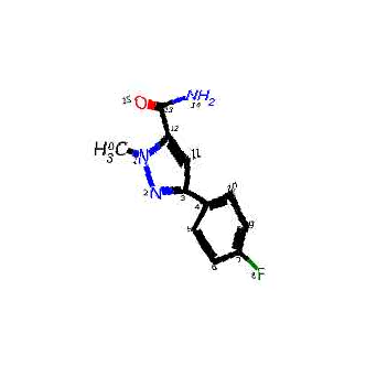 Cn1nc(-c2ccc(F)cc2)cc1C(N)=O